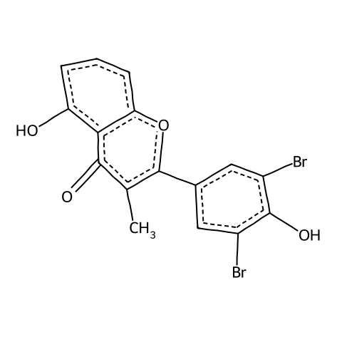 Cc1c(-c2cc(Br)c(O)c(Br)c2)oc2cccc(O)c2c1=O